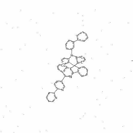 c1ccc(-c2cccc(N3c4ccccc4C4(c5ccccc5-c5nc(-c6ccc(-c7ccccn7)nc6)c6ccccc6c54)c4ccccc43)c2)cc1